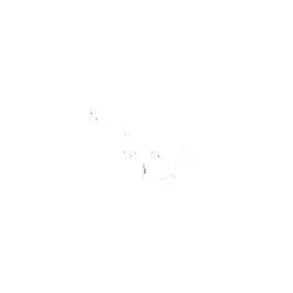 NCC1CN(c2cccc(C=O)n2)C1